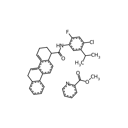 CC(C)c1cc(NC(=O)C2CCC=c3c2ccc2c3=CCc3ccccc3-2)c(F)cc1Cl.COC(=O)c1ccccn1